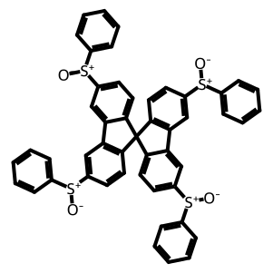 [O-][S+](c1ccccc1)c1ccc2c(c1)-c1cc([S+]([O-])c3ccccc3)ccc1C21c2ccc([S+]([O-])c3ccccc3)cc2-c2cc([S+]([O-])c3ccccc3)ccc21